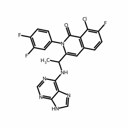 CC(Nc1ncnc2[nH]cnc12)c1cc2ccc(F)c(Cl)c2c(=O)n1-c1ccc(F)c(F)c1